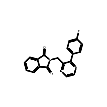 O=C1c2ccccc2C(=O)N1Cc1nccnc1-c1ccc(F)cc1